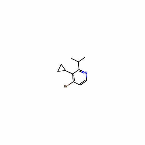 CC(C)c1nccc(Br)c1C1CC1